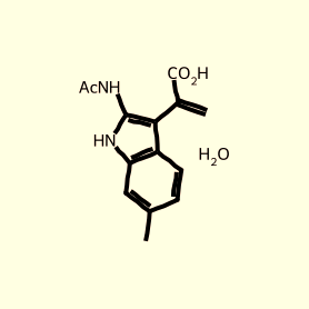 C=C(C(=O)O)c1c(NC(C)=O)[nH]c2cc(C)ccc12.O